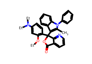 CCOc1cc(N(CC)CC)ccc1C1(c2c(C)n(-c3ccccc3)c3ccccc23)OC(=O)c2cccnc21